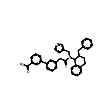 O=C(O)c1cccc(-c2cccc(CC(=O)N(Cc3ccoc3)C3c4ccccc4CCC3Cc3ccccc3)c2)c1